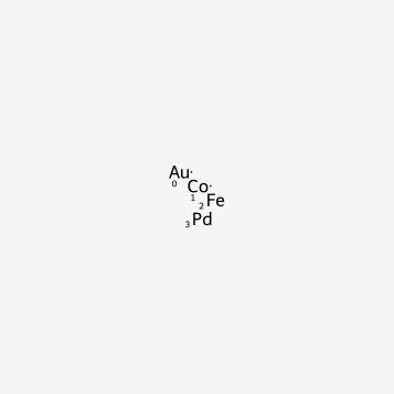 [Au].[Co].[Fe].[Pd]